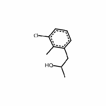 Cc1c(Cl)cccc1CC(C)O